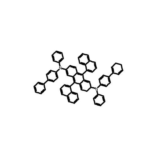 C1=CC(c2ccc(N(c3ccccc3)C3C=c4c(-c5cccc6ccccc56)c5ccc(N(c6ccccc6)c6ccc(-c7ccccc7)cc6)cc5c(-c5cccc6ccccc56)c4=CC3)cc2)=CCC1